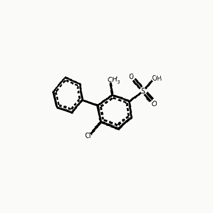 Cc1c(S(=O)(=O)O)ccc(Cl)c1-c1ccccc1